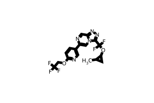 CC1CC1OC(F)(F)c1nnc2cnc(-c3ccc(OCC(F)(F)F)nc3)cn12